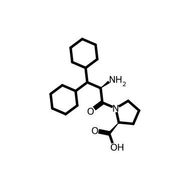 N[C@@H](C(=O)N1CCC[C@H]1C(=O)O)C(C1CCCCC1)C1CCCCC1